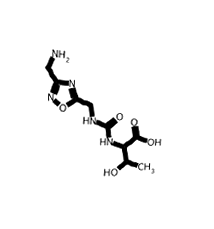 CC(O)C(NC(=O)NCc1nc(CN)no1)C(=O)O